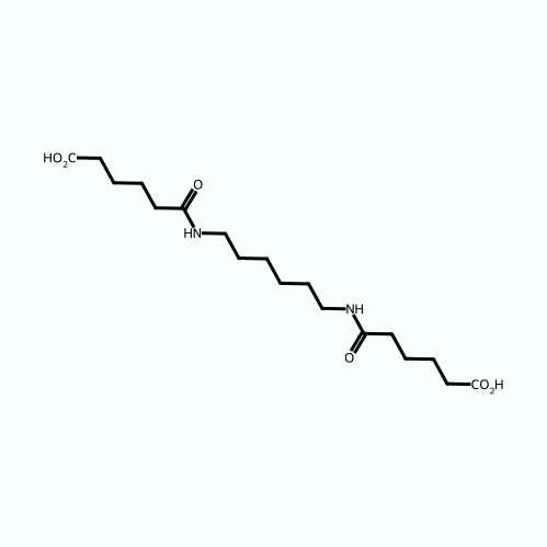 O=C(O)CCCCC(=O)NCCCCCCNC(=O)CCCCC(=O)O